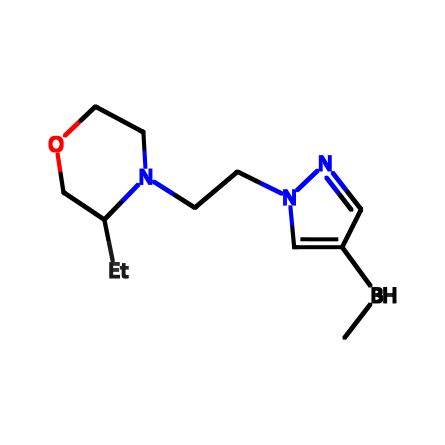 CBc1cnn(CCN2CCOCC2CC)c1